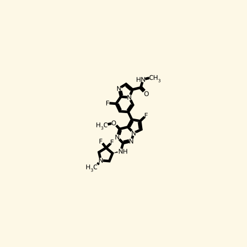 CNC(=O)c1cnc2c(F)cc(-c3c(F)cn4nc(N[C@@H]5CN(C)CC5(F)F)nc(OC)c34)cn12